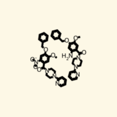 COc1cc(C(=O)N2CCN(c3ccccn3)CC2)c(N)cc1OCc1ccccc1.COc1cc(C(=O)N2CCN(c3ccccn3)CC2)c([N+](=O)[O-])cc1OCc1ccccc1